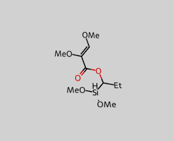 CCC(OC(=O)C(=COC)OC)[SiH](OC)OC